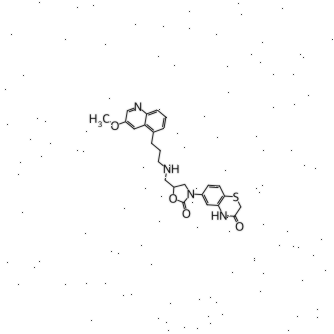 COc1cnc2cccc(CCCNCC3CN(c4ccc5c(c4)NC(=O)CS5)C(=O)O3)c2c1